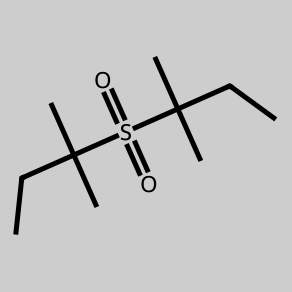 CCC(C)(C)S(=O)(=O)C(C)(C)CC